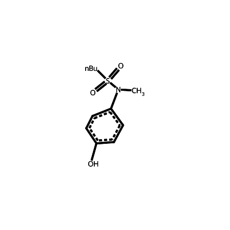 CCCCS(=O)(=O)N(C)c1ccc(O)cc1